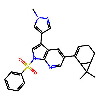 Cn1cc(-c2cn(S(=O)(=O)c3ccccc3)c3ncc(C4=CCCC5C4C5(C)C)cc23)cn1